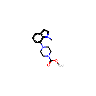 Cn1ccc2cccc(N3CCN(C(=O)OC(C)(C)C)CC3)c21